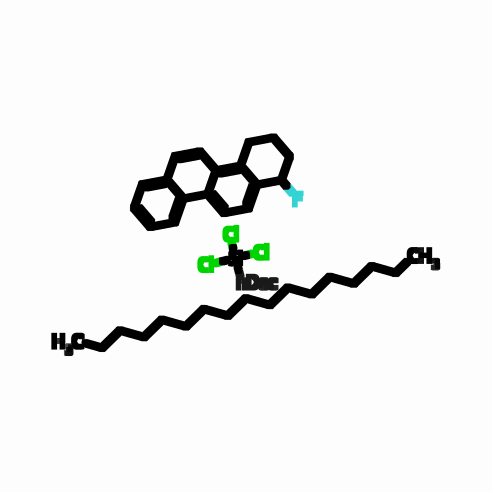 CCCCCCCCCCCCCCCCC.CCCCCCCCCC[Si](Cl)(Cl)Cl.FC1CCCc2c1ccc1c2ccc2ccccc21